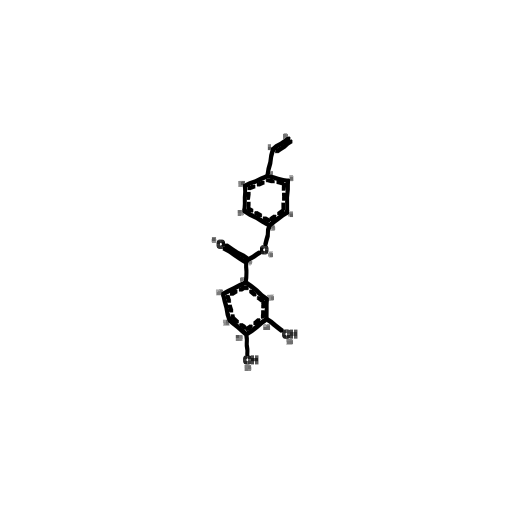 C=Cc1ccc(OC(=O)c2ccc(O)c(O)c2)cc1